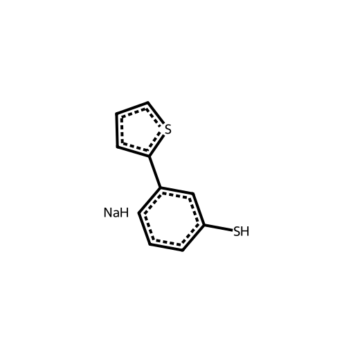 Sc1cccc(-c2cccs2)c1.[NaH]